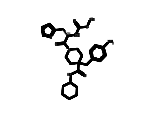 CC(C)(C)OC(=O)N[C@@H](Cc1cccs1)C(=O)N1CCC(Cc2ccc(N)cc2)(C(=O)NC2CCCCC2)CC1